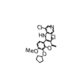 C=C1Oc2c(ccc(OC)c2OC2CCCC2)C(Nc2c(Cl)cncc2Cl)=C1F